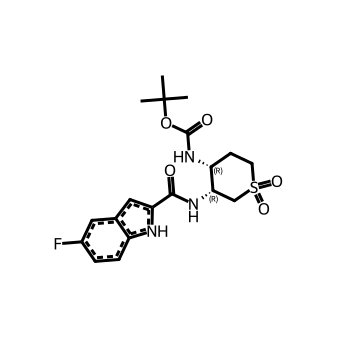 CC(C)(C)OC(=O)N[C@@H]1CCS(=O)(=O)C[C@@H]1NC(=O)c1cc2cc(F)ccc2[nH]1